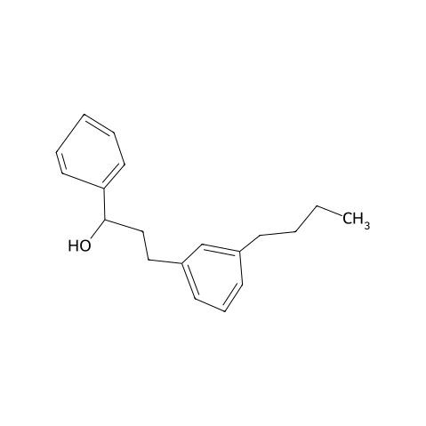 CCCCc1cccc(CCC(O)c2ccccc2)c1